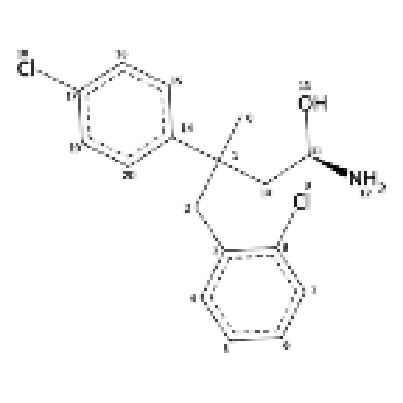 CC(Cc1ccccc1Cl)(C[C@H](N)O)c1ccc(Cl)cc1